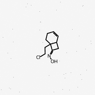 ON=C1CC2C=CCCC12CCCl